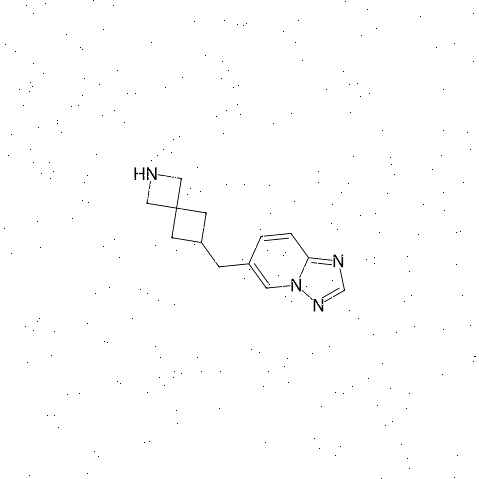 c1nc2ccc(CC3CC4(CNC4)C3)cn2n1